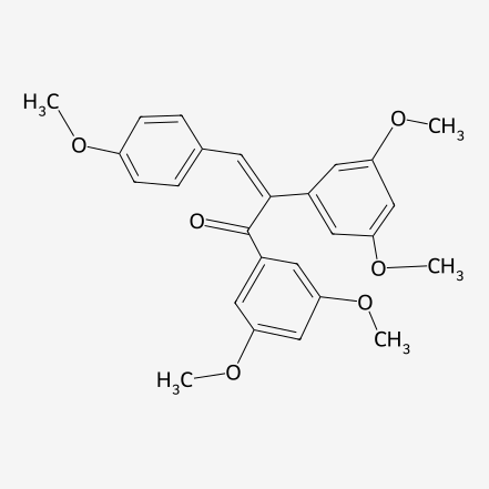 COc1ccc(C=C(C(=O)c2cc(OC)cc(OC)c2)c2cc(OC)cc(OC)c2)cc1